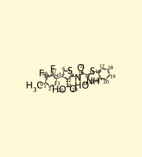 Cc1ccc(-c2csc(NC(=O)/C(=[NH+]\[O-])Sc3ccccc3)c2C(=O)O)c(F)c1F